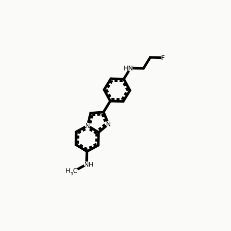 CNc1ccn2cc(-c3ccc(NCCF)cc3)nc2c1